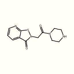 O=C(Cn1sc2ncccc2c1=O)N1CCNCC1